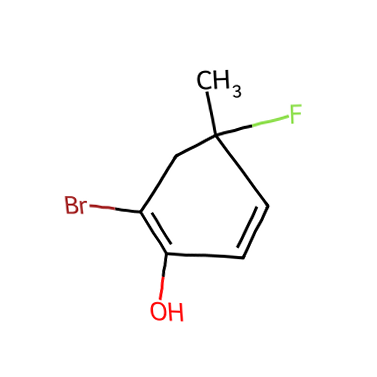 CC1(F)C=CC(O)=C(Br)C1